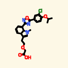 CC(C)Oc1ccc(-c2nc(C3=CC=CC4C(CCOCC(=O)O)=CN(C)C34)no2)cc1Cl